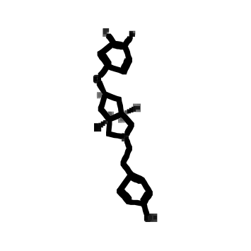 Oc1ccc(CCN2C[C@H]3C[C@@H](Oc4ccc(F)c(F)c4)C[C@H]3C2)cc1